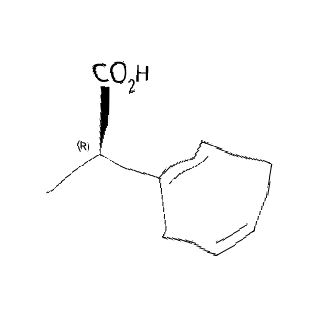 C[C@@H](C(=O)O)C1=CCC=CC1